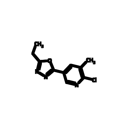 CCc1nnc(-c2cnc(Cl)c(C)c2)o1